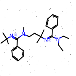 CCN(CC)/C(=N/C(C)(C)CCN(C)/C(=N/C(C)(C)C)c1ccccc1)c1ccccc1